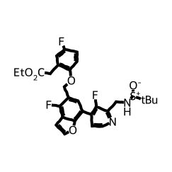 CCOC(=O)Cc1cc(F)ccc1OCc1cc(-c2ccnc(CN[S+]([O-])C(C)(C)C)c2F)c2occc2c1F